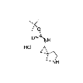 CC(C)(C)OC(=O)NC1CC12CCNC2.Cl